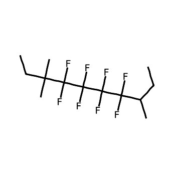 CCC(C)C(F)(F)C(F)(F)C(F)(F)C(F)(F)C(C)(C)CC